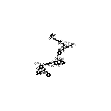 C=C1C[C@H]2C(O)N(C(=O)OCc3ccccc3)c3cc(OCCCCCOc4cc5c(cc4OC)C(=O)N4CC(C)(C)C[C@H]4C(O)N5C(=O)OCc4ccc(NC(=O)[C@H](CCCNC(N)=O)NC(=O)[C@@H](NC(=O)CCCCCN5C(=O)C=CC5=O)C(C)C)cc4)c(OC)cc3C(=O)N2C1